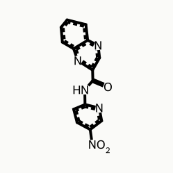 O=C(Nc1ccc([N+](=O)[O-])cn1)c1cnc2ccccc2n1